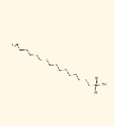 NCCCCCCCCCCCCCCCS(=O)(=O)O